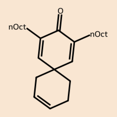 CCCCCCCCC1=CC2(C=C(CCCCCCCC)C1=O)CC=CCC2